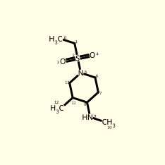 CCS(=O)(=O)N1CCC(NC)C(C)C1